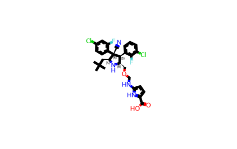 CC(C)(C)C[C@@H]1N[C@@H](COCNc2ccc(C(=O)O)[nH]2)[C@H](c2cccc(Cl)c2F)[C@@]1(C#N)c1ccc(Cl)cc1F